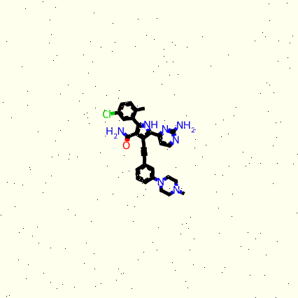 Cc1ccc(Cl)cc1-c1[nH]c(-c2ccnc(N)n2)c(C#Cc2cccc(N3CCN(C)CC3)c2)c1C(N)=O